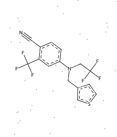 N#Cc1ccc(N(Cc2ccsc2)CC(F)(F)F)cc1C(F)(F)F